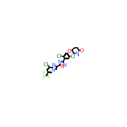 CN1CC(Oc2cc(Cl)c(-c3noc(-c4cn5cc(C(F)(F)F)cc(Cl)c5n4)n3)cc2Cl)CCC1=O